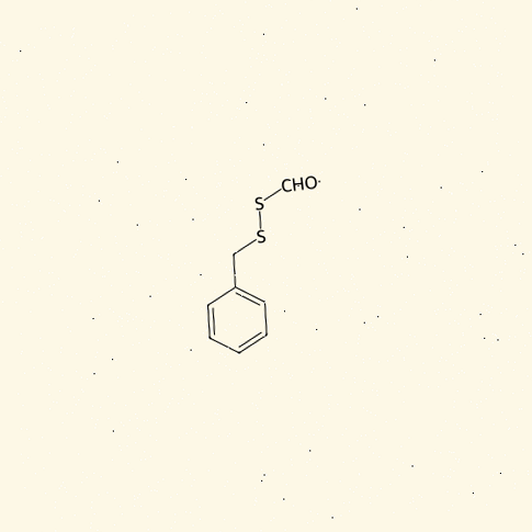 O=[C]SSCc1ccccc1